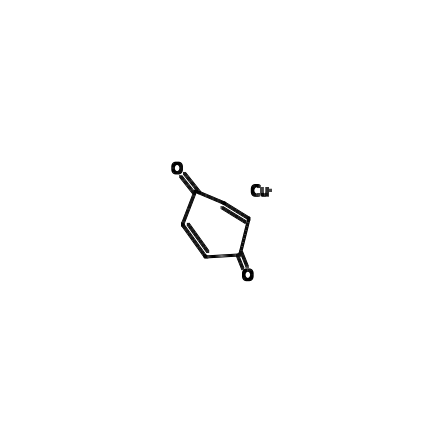 O=C1C=CC(=O)C=C1.[Cu]